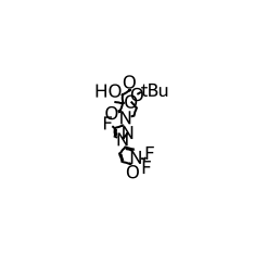 CC(C)(C)OC(=O)C(O)C1(C)OCCN(c2nn(-c3ccc(=O)n(C(F)F)c3)cc2F)C1=O